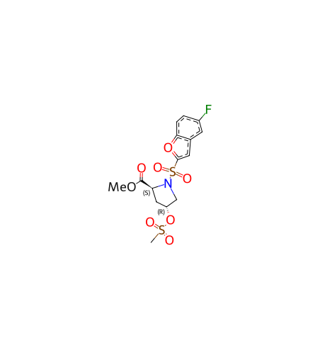 COC(=O)[C@@H]1C[C@@H](OS(C)(=O)=O)CN1S(=O)(=O)c1cc2cc(F)ccc2o1